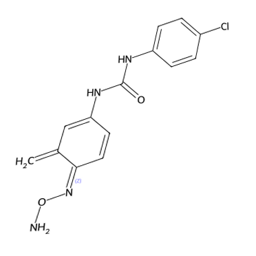 C=C1C=C(NC(=O)Nc2ccc(Cl)cc2)C=C/C1=N/ON